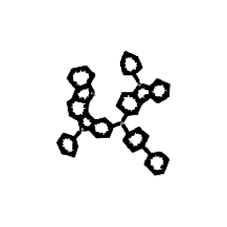 c1ccc(-c2ccc(N(c3ccc4c(c3)c3ccccc3n4-c3ccccc3)c3ccc4c(c3)c3c5sc6ccccc6c5ccc3n4-c3ccccc3)cc2)cc1